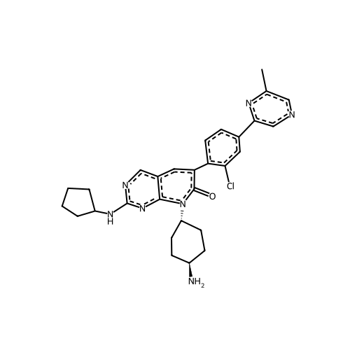 Cc1cncc(-c2ccc(-c3cc4cnc(NC5CCCC5)nc4n([C@H]4CC[C@H](N)CC4)c3=O)c(Cl)c2)n1